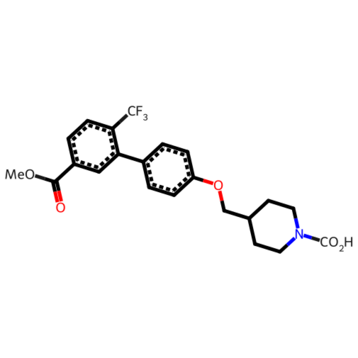 COC(=O)c1ccc(C(F)(F)F)c(-c2ccc(OCC3CCN(C(=O)O)CC3)cc2)c1